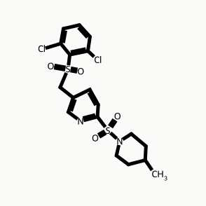 CC1CCN(S(=O)(=O)c2ccc(CS(=O)(=O)c3c(Cl)cccc3Cl)cn2)CC1